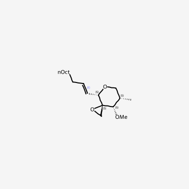 CCCCCCCCC/C=C/[C@@H]1OC[C@H](C)[C@H](OC)[C@@]12CO2